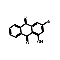 O=C1c2ccccc2C(=O)c2c(O)cc(Br)cc21